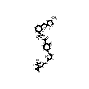 C[C@@H]1CNC(C)(Cc2cccc(S(=O)(=O)NC(=O)c3ccc(-n4ccc(OCCC5(C(F)(F)F)CC5)n4)nc3Cl)c2)C1